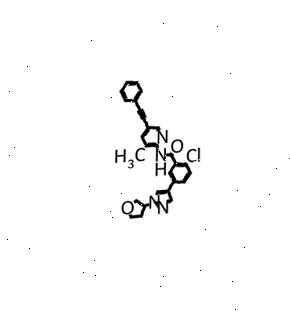 Cc1cc(C#Cc2ccccc2)cnc1NC(=O)c1cc(-c2cnn(C3CCOC3)c2)ccc1Cl